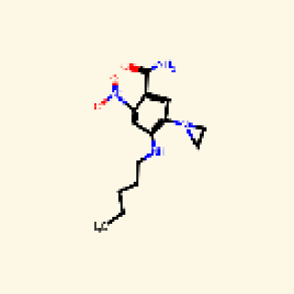 CCCCCNc1cc([N+](=O)[O-])c(C(N)=O)cc1N1CC1